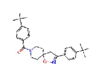 CC(C)(C)c1ccc(C(=O)N2CCC3(CC2)CC(c2ccc(C(C)(C)C)cc2)=NO3)cc1